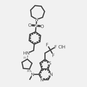 CN(c1ncnc2sc(CC(F)(F)F)cc12)[C@@H]1CC[C@H](NCc2ccc(S(=O)(=O)N3CCCCCC3)cc2)C1.Cl